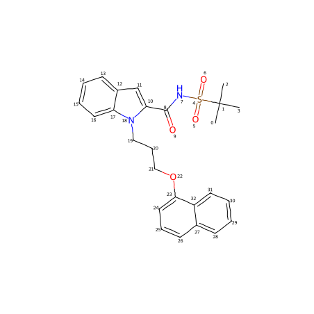 CC(C)(C)S(=O)(=O)NC(=O)c1cc2ccccc2n1CCCOc1cccc2ccccc12